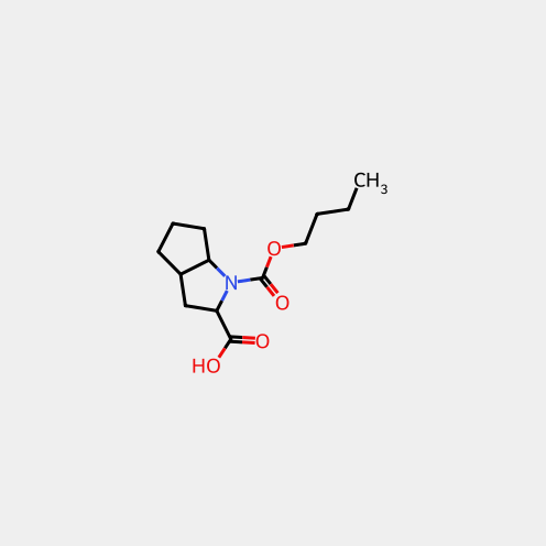 CCCCOC(=O)N1C(C(=O)O)CC2CCCC21